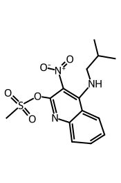 CC(C)CNc1c([N+](=O)[O-])c(OS(C)(=O)=O)nc2ccccc12